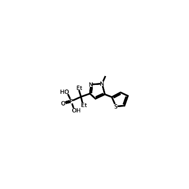 CCC(CC)(c1cc(-c2cccs2)n(C)n1)P(=O)(O)O